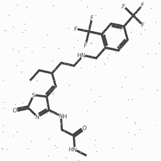 CCC(/C=C1\SC(=O)N=C1NCC(=O)NC)CCNCc1ccc(C(F)(F)F)cc1C(F)(F)F